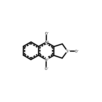 [O-][n+]1c2c([n+]([O-])c3ccccc31)C[S+]([O-])C2